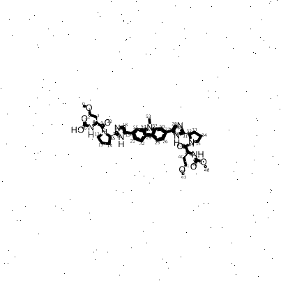 COCC[C@H](NC(=O)O)C(=O)N1CCC[C@H]1c1ncc(-c2ccc3c4ccc(-c5cnc([C@@H]6CCCN6C(=O)[C@H](CCOC)NC(=O)OC)[nH]5)cc4n(C)c3c2)[nH]1